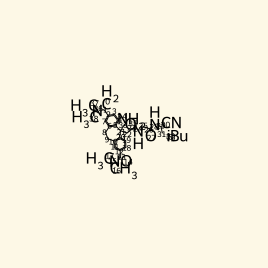 C=C(c1ccc2c(c1)CCc1cc(C(=O)N(C)C)ccc1C2(CCNCC(=O)NC(C#N)C[C@@H](C)CC)C(N)=O)N(C)C